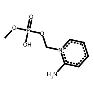 COP(=O)(O)OC[n+]1ccccc1N